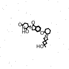 CC1(O)CC2(CN([C@H]3CCCC[C@@H]3Oc3ccc4c(c3)CN(C3CCC(=O)NC3=O)C4=O)C2)C1